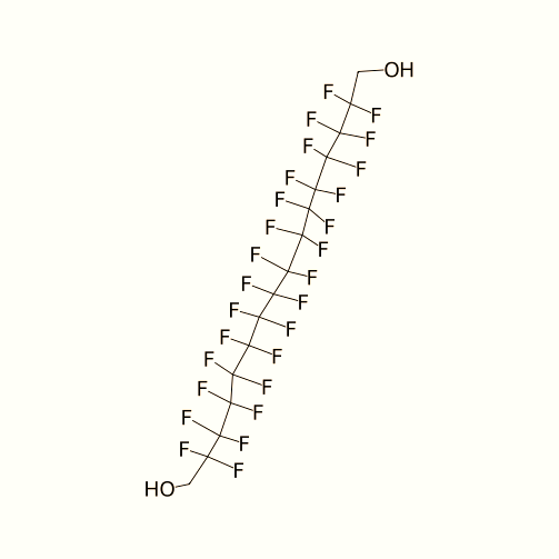 OCC(F)(F)C(F)(F)C(F)(F)C(F)(F)C(F)(F)C(F)(F)C(F)(F)C(F)(F)C(F)(F)C(F)(F)C(F)(F)C(F)(F)C(F)(F)C(F)(F)CO